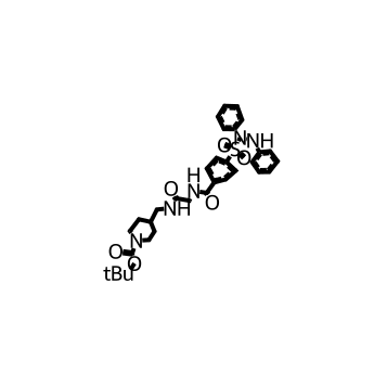 CC(C)(C)OC(=O)N1CCC(CNC(=O)CNC(=O)c2ccc(S(=O)(=O)N(Nc3ccccc3)c3ccccc3)cc2)CC1